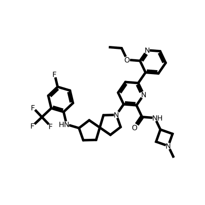 CCOc1ncccc1-c1ccc(N2CCC3(CCC(Nc4ccc(F)cc4C(F)(F)F)C3)C2)c(C(=O)NC2CN(C)C2)n1